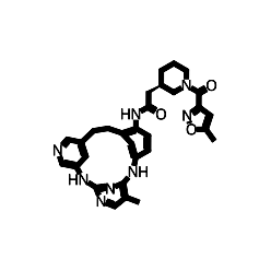 Cc1cc(C(=O)N2CCC[C@H](CC(=O)Nc3ccc4cc3CCc3cncc(c3)Nc3ncc(C)c(n3)N4)C2)no1